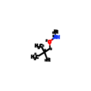 [CH2]CNOCC(C)(C)CC